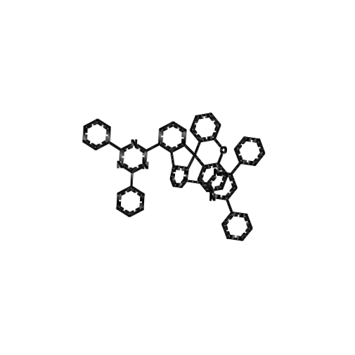 c1ccc(-c2cc(-c3ccccc3)nc(-c3cccc4c3C3(c5ccccc5Oc5ccccc53)c3cccc(-c5nc(-c6ccccc6)nc(-c6ccccc6)n5)c3-4)n2)cc1